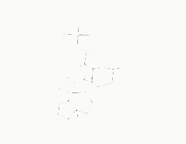 CC(=O)O[C@H]1CC[C@](C)([C@H]2CC[C@]3(C)CCC[C@H]3[C@@H]2OC(C)=O)[C@@H](CCO[Si](C)(C)C(C)(C)C)C1